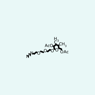 CC(=O)OCC1OC(OCCOCCOCCN=[N+]=[N-])C(OC(C)=O)C(C)C1C